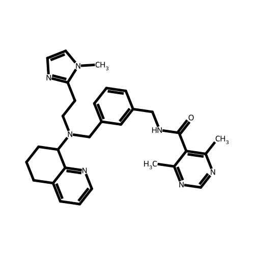 Cc1ncnc(C)c1C(=O)NCc1cccc(CN(CCc2nccn2C)C2CCCc3cccnc32)c1